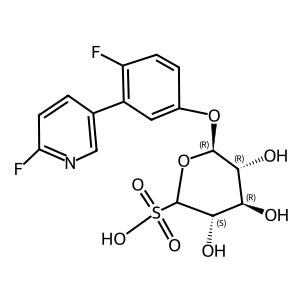 O=S(=O)(O)C1O[C@@H](Oc2ccc(F)c(-c3ccc(F)nc3)c2)[C@H](O)[C@@H](O)[C@@H]1O